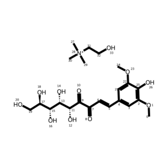 COc1cc(C=CC(=O)C(=O)[C@H](O)[C@@H](O)[C@H](O)[C@H](O)CO)cc(OC)c1O.C[N+](C)(C)CCO